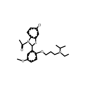 CCN(CCCOc1ccc(OC)cc1C1Sc2cc(Cl)ccc2N1C(C)=O)C(C)C